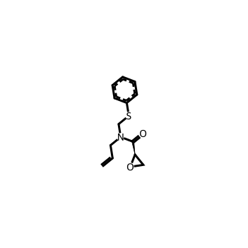 C=CCN(CSc1ccccc1)C(=O)[C@H]1CO1